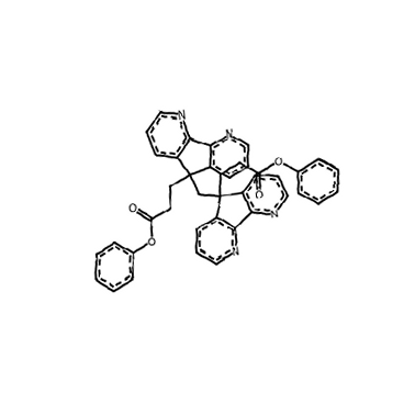 O=C(CCC1(CC2(CCC(=O)Oc3ccccc3)c3cccnc3-c3ncccc32)c2cccnc2-c2ncccc21)Oc1ccccc1